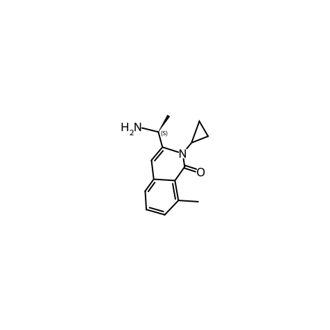 Cc1cccc2cc([C@H](C)N)n(C3CC3)c(=O)c12